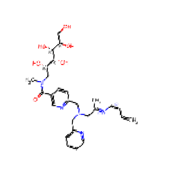 C=C/C=C\N=C(/C)CN(Cc1ccccn1)Cc1ccc(C(=O)N(C)C[C@H](O)[C@@H](O)[C@H](O)[C@H](O)CO)cn1